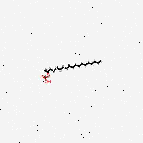 CCCCCCCCCCCCCCCCCC(C)OC(=O)O